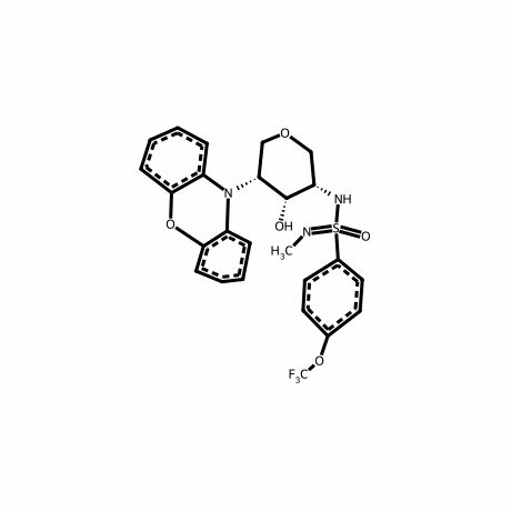 CN=S(=O)(N[C@H]1COC[C@@H](N2c3ccccc3Oc3ccccc32)[C@H]1O)c1ccc(OC(F)(F)F)cc1